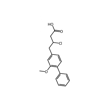 COc1cc(CC(Cl)CC(=O)O)ccc1-c1ccccc1